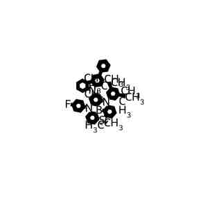 CC(C)(C)c1cc(N2c3cc(N4c5ccc(-c6ccccc6)cc5C5(C)CCCCC45C)cc4c3B3c5c(cccc5[Si](C)(C)c5cccc2c53)N4c2ccc(F)cc2)cc(C(C)(C)C)c1